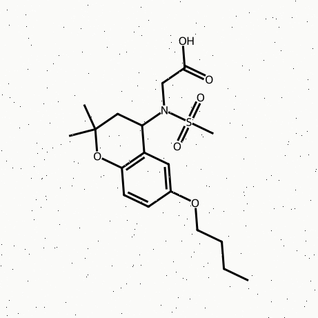 CCCCOc1ccc2c(c1)C(N(CC(=O)O)S(C)(=O)=O)CC(C)(C)O2